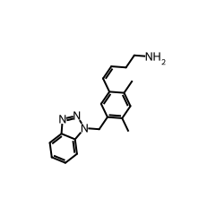 Cc1cc(C)c(Cn2nnc3ccccc32)cc1/C=C\CCN